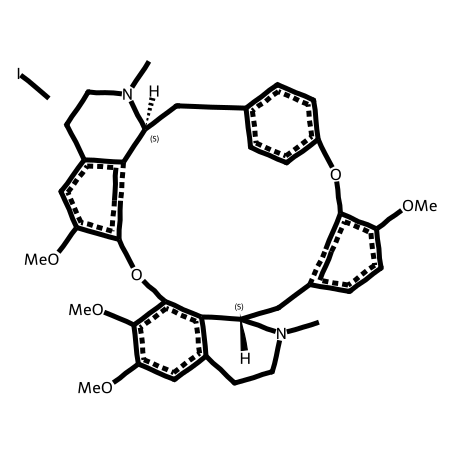 CI.COc1ccc2cc1Oc1ccc(cc1)C[C@H]1c3cc(c(OC)cc3CCN1C)Oc1c(OC)c(OC)cc3c1[C@H](C2)N(C)CC3